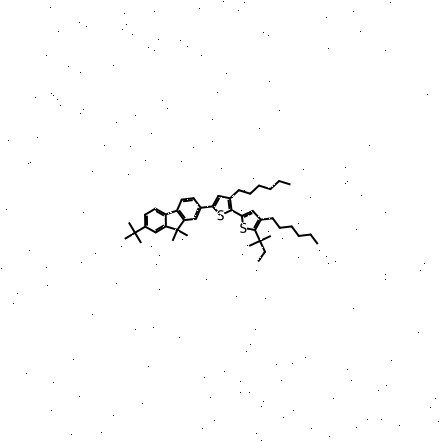 CCCCCCc1cc(-c2ccc3c(c2)C(C)(C)c2cc(C(C)(C)C)ccc2-3)sc1-c1cc(CCCCCC)c(C(C)(C)CC)s1